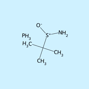 CC(C)(C)[S+](N)[O-].P